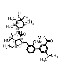 CNC(=O)c1cc(-c2cccc(CN3O[C@@H](CN)[C@@H]([C@H](C)O)[C@H]3C(=O)N[C@H]3C[C@@H](C)C(C)(C)[C@@H](C)[C@@H]3C)c2OC)cc(N(C)C)c1